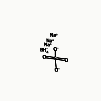 O=S(=O)([O-])[O-].[BH4-].[Na+].[Na+].[Na+]